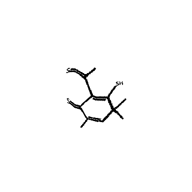 CC(=S)C1=C(S)C(C)(C)C=C(C)C1=S